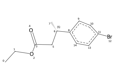 CCOC(=O)C[C@H](C)c1ccc(Br)cc1